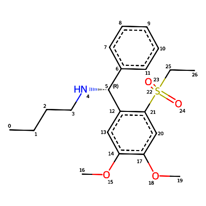 CCCCN[C@H](c1ccccc1)c1cc(OC)c(OC)cc1S(=O)(=O)CC